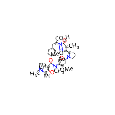 CC[C@H](C)[C@@H]([C@@H](CC(=O)N1CCC[C@H]1[C@H](OC)[C@@H](C)C(=O)N[C@@H](Cc1ccccc1)C(=O)O)OC)N(C)C(=O)[C@H](C(=O)[C@H](C(C)C)N(C)C)C(C)C